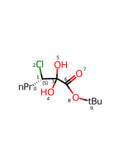 CCC[C@H](Cl)C(O)(O)C(=O)OC(C)(C)C